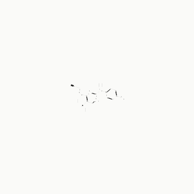 C#CCNc1nc(Nc2ccc(N)cc2)ncc1C(F)(F)F